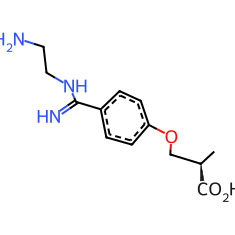 C[C@H](COc1ccc(C(=N)NCCN)cc1)C(=O)O